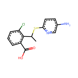 CC(Sc1ccc(N)cn1)c1c(Cl)cccc1C(=O)O